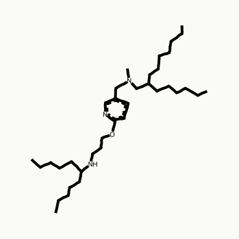 CCCCCCCC(CCCCCC)CN(C)Cc1ccc(OCCCNC(CCCCC)CCCCC)nc1